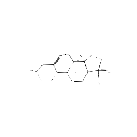 CC1(O)CC[C@H]2[C@@H]3CC=C4CC(O)CC[C@]4(C=O)[C@@H]3CC[C@@]21C